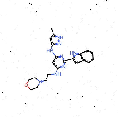 Cc1cc(Nc2cc(NCCN3CCOCC3)nc(-c3cc4ccccc4[nH]3)n2)n[nH]1